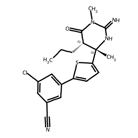 CCC[C@@H]1C(=O)N(C)C(=N)N[C@]1(C)c1ccc(-c2cc(Cl)cc(C#N)c2)s1